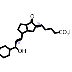 O=C(O)CCC/C=C1\CC2C(/C=C/C(O)C3CCCCC3)CCC2C1=O